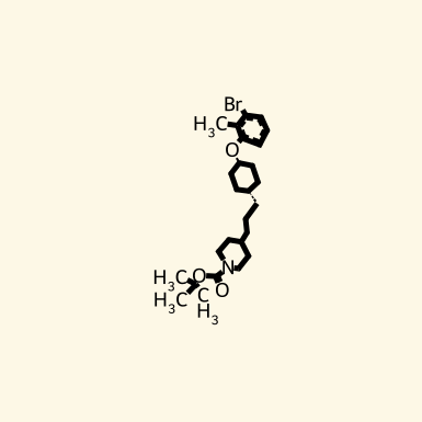 Cc1c(Br)cccc1O[C@H]1CC[C@@H](CCCC2CCN(C(=O)OC(C)(C)C)CC2)CC1